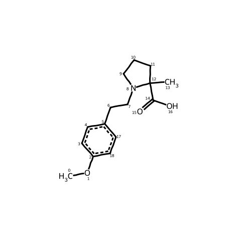 COc1ccc(CCN2CCCC2(C)C(=O)O)cc1